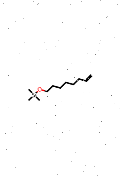 C=CCCCCCCO[Si](C)(C)C